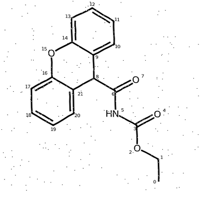 CCOC(=O)NC(=O)C1c2ccccc2Oc2ccccc21